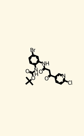 CC(C)(C)OC(=O)Nc1ccc(Br)cc1NC(=O)CC(=O)c1ccc(Cl)nc1